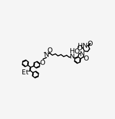 CC/C(=C(\c1ccccc1)c1ccc(OCCN(C)C(=O)CCCCCCCNc2cccc3c2C(=O)N(C2CCC(=O)NC2=O)C3=O)cc1)c1ccccc1